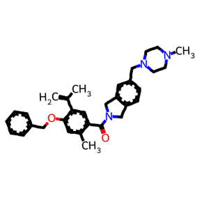 C=C(C)c1cc(C(=O)N2Cc3ccc(CN4CCN(C)CC4)cc3C2)c(C)cc1OCc1ccccc1